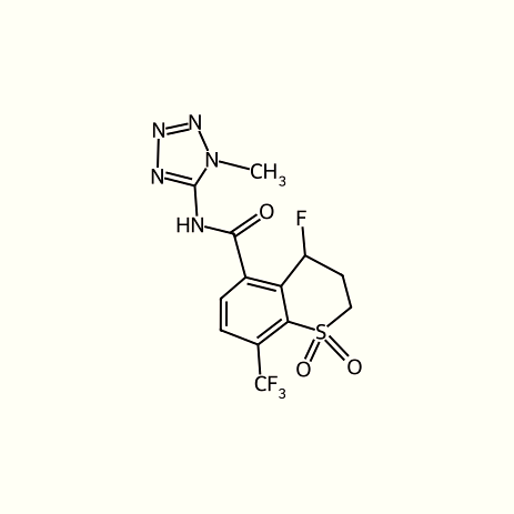 Cn1nnnc1NC(=O)c1ccc(C(F)(F)F)c2c1C(F)CCS2(=O)=O